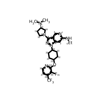 CCNc1cc2c(cn1)c(N1CC[C@H](N(C)C)C1)nn2C1CCC(Oc2nccc(C(F)(F)F)c2F)CC1